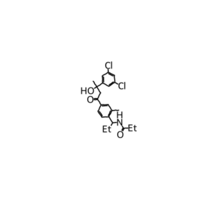 CCC(=O)NC(CC)c1ccc(C(=O)CC(C)(O)c2cc(Cl)cc(Cl)c2)cc1C